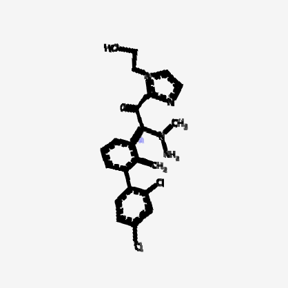 C=c1c(-c2ccc(Cl)cc2Cl)ccc/c1=C(\C(=O)c1nccn1CCO)N(C)N